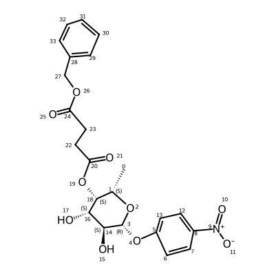 C[C@@H]1O[C@H](Oc2ccc([N+](=O)[O-])cc2)[C@@H](O)[C@H](O)[C@@H]1OC(=O)CCC(=O)OCc1ccccc1